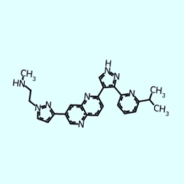 CNCCn1ccc(-c2cnc3ccc(-c4c[nH]nc4-c4cccc(C(C)C)n4)nc3c2)n1